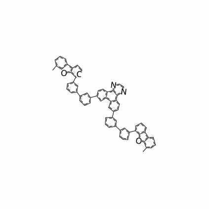 Cc1cccc2c1oc1c(-c3cccc(-c4cccc(-c5ccc6c(c5)c5cc(-c7cccc(-c8cccc(-c9cccc%10c9oc9c(C)cccc9%10)c8)c7)ccc5c5nccnc65)c4)c3)cccc12